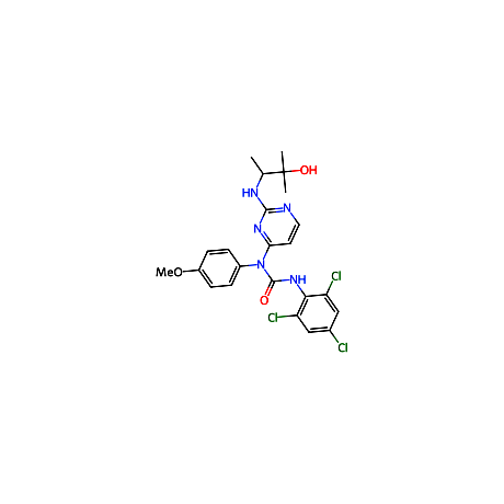 COc1ccc(N(C(=O)Nc2c(Cl)cc(Cl)cc2Cl)c2ccnc(NC(C)C(C)(C)O)n2)cc1